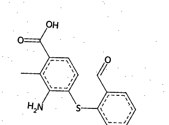 Cc1c(C(=O)O)ccc(Sc2ccccc2C=O)c1N